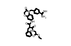 CCOC(=O)CNC(=O)C(Cc1ccccc1)C(=O)Nc1ccc2c(c1)OCC(=O)N2Cc1ccc(C(=N)N)cc1